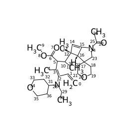 C=C/C(=C(/C)C(C(=O)OC)C(C)[C@]1(C)C=C2[C@@H]1C1(CCOCC1)CN2C(C)=O)N(CC)C1CCOCC1